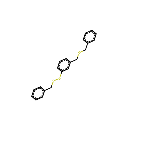 c1ccc(CSCc2cccc(SSCc3ccccc3)c2)cc1